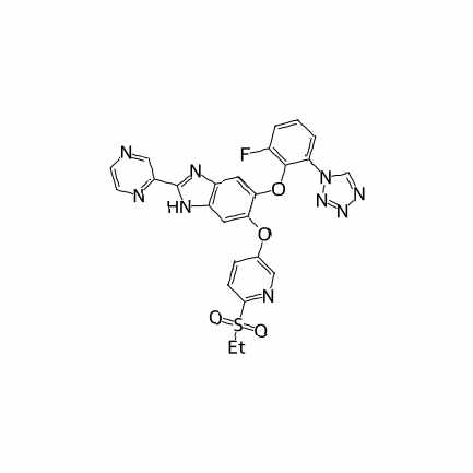 CCS(=O)(=O)c1ccc(Oc2cc3[nH]c(-c4cnccn4)nc3cc2Oc2c(F)cccc2-n2cnnn2)cn1